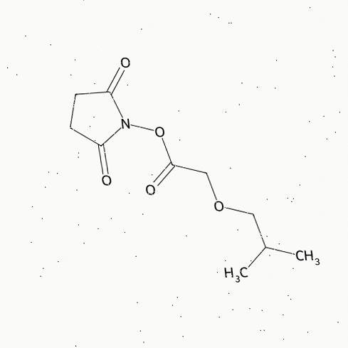 CC(C)COCC(=O)ON1C(=O)CCC1=O